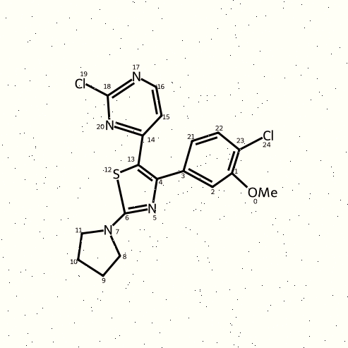 COc1cc(-c2nc(N3CCCC3)sc2-c2ccnc(Cl)n2)ccc1Cl